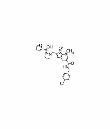 CN1C=C(C(=O)NCc2ccc(Cl)cc2)Cc2cc(CN3CCC[C@@H]3[C@@H](O)c3ccco3)[s+]([O-])c21